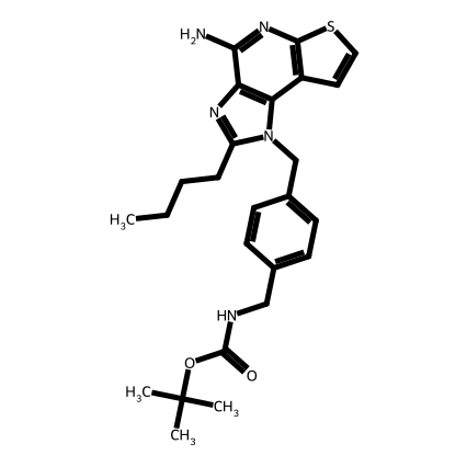 CCCCc1nc2c(N)nc3sccc3c2n1Cc1ccc(CNC(=O)OC(C)(C)C)cc1